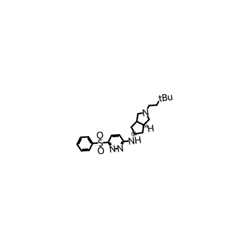 CC(C)(C)CCN1CC2C[C@@H](Nc3ccc(S(=O)(=O)c4ccccc4)nn3)C[C@@H]2C1